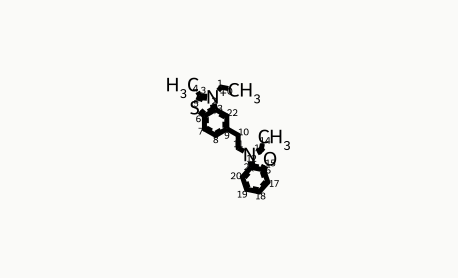 CC[n+]1c(C)sc2ccc(CC[n+]3c(C)oc4ccccc43)cc21